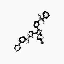 O=C(Nc1cccc(-c2nc3sc(Br)cn3c2-c2ccnc(Nc3cccc(N4CCOCC4)c3)n2)c1)c1ccccc1